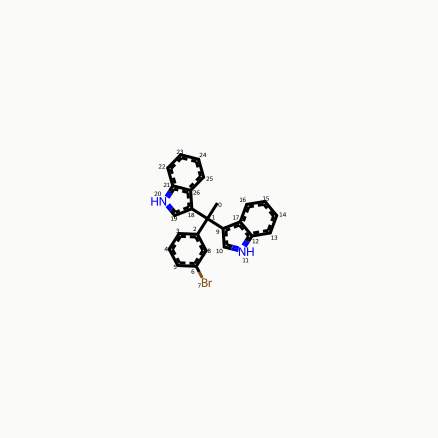 CC(c1cccc(Br)c1)(c1c[nH]c2ccccc12)c1c[nH]c2ccccc12